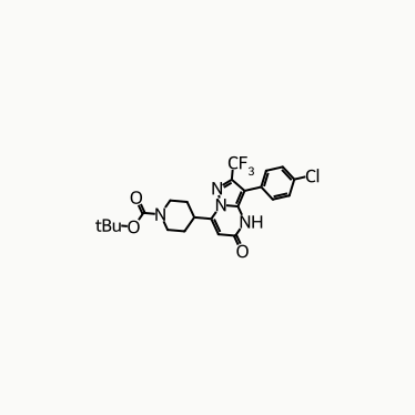 CC(C)(C)OC(=O)N1CCC(c2cc(=O)[nH]c3c(-c4ccc(Cl)cc4)c(C(F)(F)F)nn23)CC1